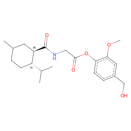 COc1cc(CO)ccc1OC(=O)CNC(=O)[C@@H]1CC(C)CC[C@H]1C(C)C